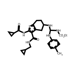 CCOC(=O)NC(Nc1ccc(C)cc1)NC1CCc2sc(NC(=O)C3CC3)c(C(=O)NCC3CC3)c2C1